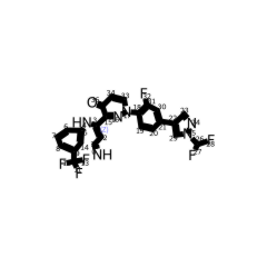 N=C/C=C(\Nc1cccc(C(F)(F)F)c1)c1nn(-c2ccc(-c3cnn(C(F)F)c3)cc2F)ccc1=O